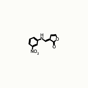 O=C1OC=CC1=CNc1cccc([N+](=O)[O-])c1